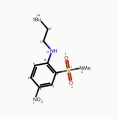 CNS(=O)(=O)c1cc([N+](=O)[O-])ccc1NCCC(C)(C)C